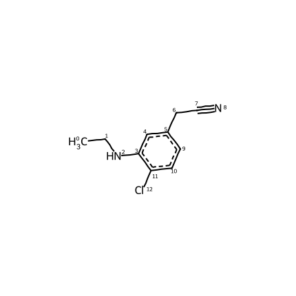 CCNc1cc(CC#N)ccc1Cl